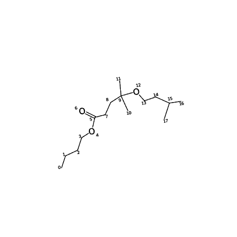 CCCCOC(=O)CCC(C)(C)OCCC(C)C